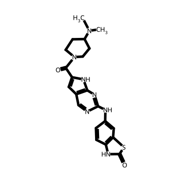 CN(C)C1CCN(C(=O)c2cc3cnc(Nc4ccc5[nH]c(=O)sc5c4)nc3[nH]2)CC1